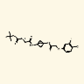 CC(C)(C)OC(=O)NCC(=O)NC12CC(NC(=O)COc3ccc(Cl)c(F)c3)(C1)C2